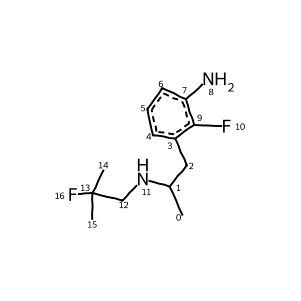 CC(Cc1cccc(N)c1F)NCC(C)(C)F